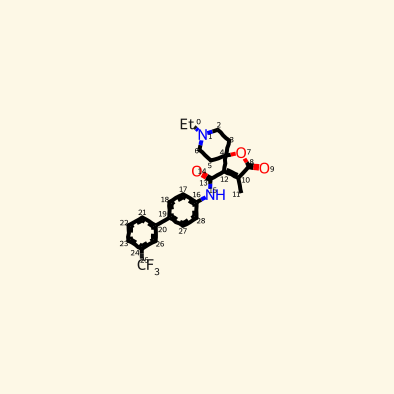 CCN1CCC2(CC1)OC(=O)C(C)=C2C(=O)Nc1ccc(-c2cccc(C(F)(F)F)c2)cc1